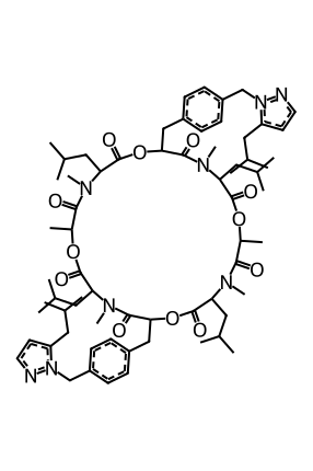 CC(C)Cc1ccnn1Cc1ccc(CC2OC(=O)C(CC(C)C)N(C)C(=O)C(C)OC(=O)C(CC(C)C)N(C)C(=O)C(Cc3ccc(Cn4nccc4CC(C)C)cc3)OC(=O)C(CC(C)C)N(C)C(=O)C(C)OC(=O)C(CC(C)C)N(C)C2=O)cc1